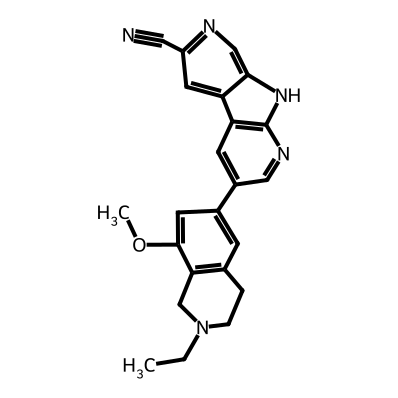 CCN1CCc2cc(-c3cnc4[nH]c5cnc(C#N)cc5c4c3)cc(OC)c2C1